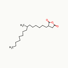 CCCCCCCCC(C)CCCCCCC1CC(=O)OC1=O